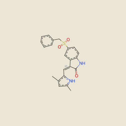 Cc1cc(C)c(/C=C2\C(=O)Nc3ccc(S(=O)(=O)Cc4ccccc4)cc32)[nH]1